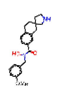 COc1cccc(CN(O)C(=O)c2ccc3c(c2)CC2(CCNC2)CC3)c1